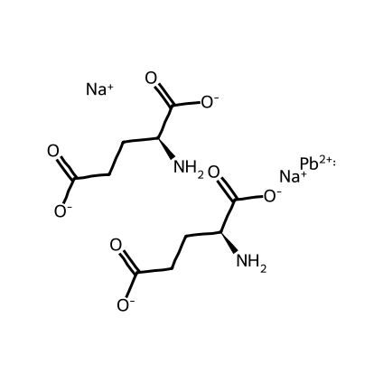 N[C@@H](CCC(=O)[O-])C(=O)[O-].N[C@@H](CCC(=O)[O-])C(=O)[O-].[Na+].[Na+].[Pb+2]